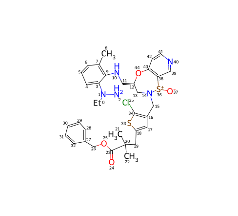 CCN(N)c1cccc(C)c1NC[C@@H]1CN(Cc2cc(CC(C)(C)C(=O)OCc3ccccc3)sc2Cl)[S+]([O-])c2cnccc2O1